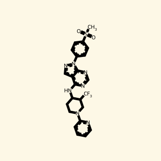 CS(=O)(=O)c1ccc(-n2ncc3c(NC4CCN(c5ccccn5)CC4C(F)(F)F)ncnc32)cc1